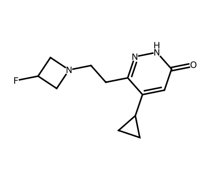 O=c1cc(C2CC2)c(CCN2CC(F)C2)n[nH]1